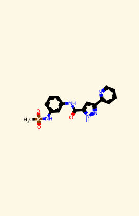 CS(=O)(=O)Nc1cccc(NC(=O)c2cc(-c3ccccn3)n[nH]2)c1